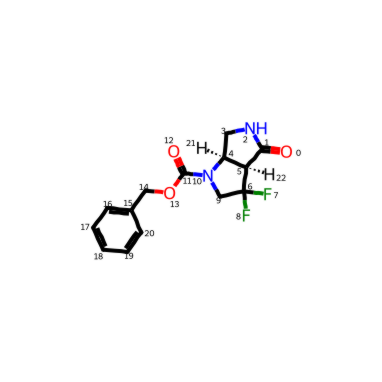 O=C1NC[C@H]2[C@@H]1C(F)(F)CN2C(=O)OCc1ccccc1